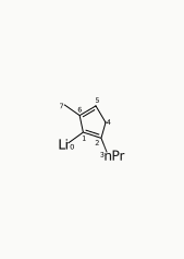 [Li][C]1=C(CCC)CC=C1C